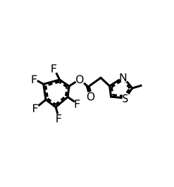 Cc1nc(CC(=O)Oc2c(F)c(F)c(F)c(F)c2F)cs1